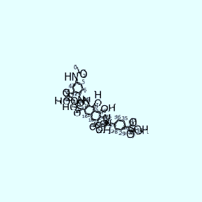 CC(=O)Nc1ccc(/N=N/c2c(S(=O)(=O)O)cc3cc(S(=O)(=O)O)c(/N=N/c4ccc(S(=O)(=O)O)cc4)c(O)c3c2O)c(S(=O)(=O)O)c1